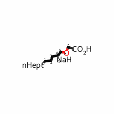 CCCCCCCCCCCCOCC(=O)O.[NaH]